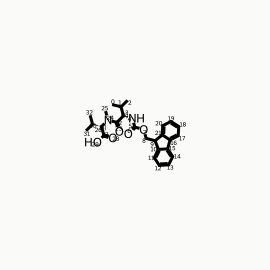 CC(C)[C@H](NC(=O)OCC1c2ccccc2-c2ccccc21)C(=O)N(C)[C@H](C(=O)O)C(C)C